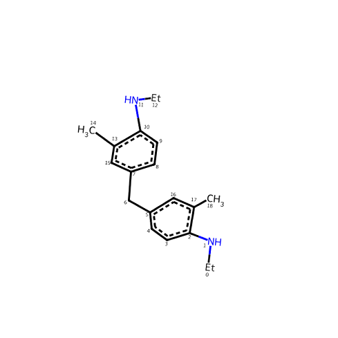 CCNc1ccc(Cc2ccc(NCC)c(C)c2)cc1C